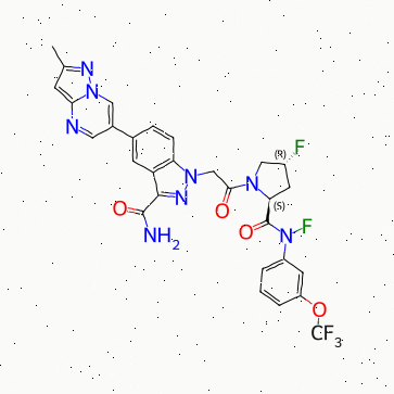 Cc1cc2ncc(-c3ccc4c(c3)c(C(N)=O)nn4CC(=O)N3C[C@H](F)C[C@H]3C(=O)N(F)c3cccc(OC(F)(F)F)c3)cn2n1